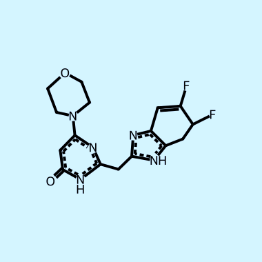 O=c1cc(N2CCOCC2)nc(Cc2nc3c([nH]2)CC(F)C(F)=C3)[nH]1